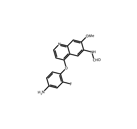 COc1cc2nccc(Oc3ccc(N)cc3F)c2cc1NC=O